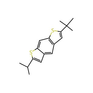 CC(C)c1cc2cc3cc(C(C)(C)C)sc3cc2s1